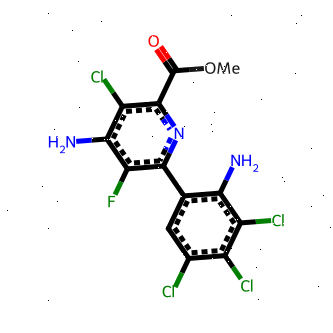 COC(=O)c1nc(-c2cc(Cl)c(Cl)c(Cl)c2N)c(F)c(N)c1Cl